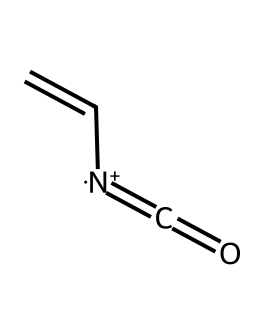 C=C[N+]=C=O